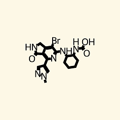 Cn1cc(-c2nc(NC3CCCCC3NC(=O)O)c(Br)c3c2C(=O)NC3)cn1